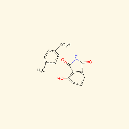 Cc1ccc(S(=O)(=O)O)cc1.O=C1NC(=O)c2c(O)cccc21